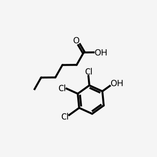 CCCCCC(=O)O.Oc1ccc(Cl)c(Cl)c1Cl